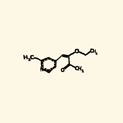 CCO/C(=C/c1ccnc(C)c1)C(C)=O